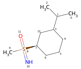 CC(C)C1CCC[C@@H](S(C)(=N)=O)C1